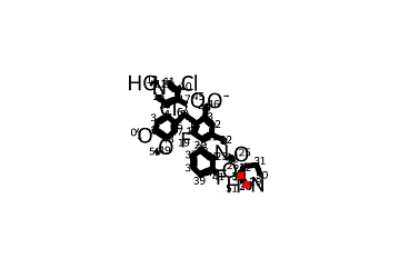 COc1ccc([C@H](Cc2c(Cl)c[n+](O)cc2Cl)c2c(F)cc(CN(C(=O)O[C@H]3CN4CCC3CC4)c3ccccc3F)cc2C(=O)[O-])cc1OC